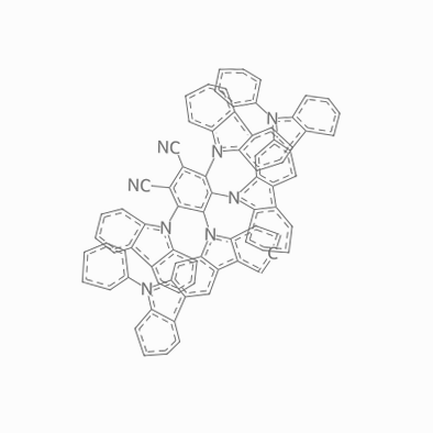 N#Cc1c(C#N)c(-n2c3ccccc3c3ccccc32)c(-n2c3ccccc3c3cc4c5ccccc5n(-c5ccccc5)c4cc32)c(-n2c3ccccc3c3cc4c5ccccc5n(-c5ccccc5)c4cc32)c1-n1c2ccccc2c2ccccc21